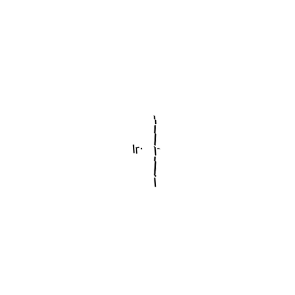 I[I-]I.[Ir]